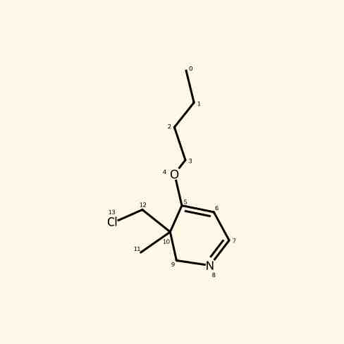 CCCCOC1=CC=NCC1(C)CCl